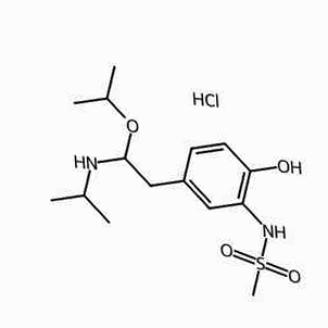 CC(C)NC(Cc1ccc(O)c(NS(C)(=O)=O)c1)OC(C)C.Cl